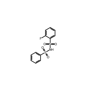 O=S(=O)(NS(=O)(=O)c1ccccc1F)c1ccccc1